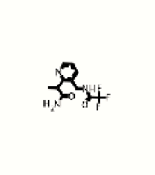 CC(C(N)=O)c1ncccc1CNC(=O)C(F)(F)F